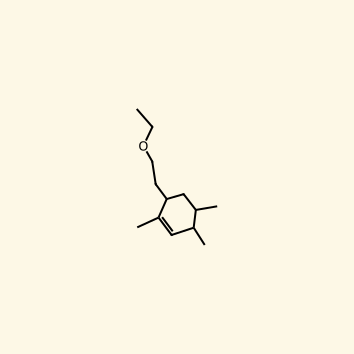 CCOCCC1CC(C)C(C)C=C1C